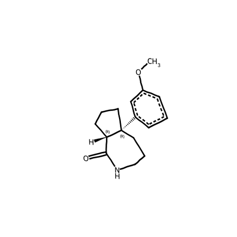 COc1cccc([C@]23CCCNC(=O)[C@@H]2CCC3)c1